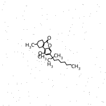 CCCCCCCC(C)(C)c1cc(OC)c2c3c(c(=O)oc2c1)CCC(C)C3